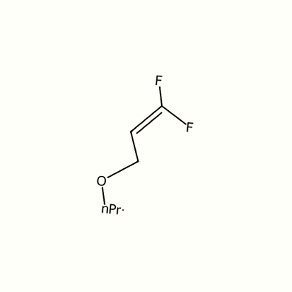 CC[CH]OCC=C(F)F